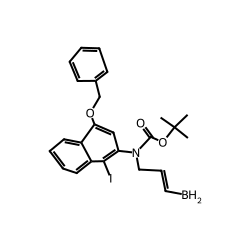 B/C=C/CN(C(=O)OC(C)(C)C)c1cc(OCc2ccccc2)c2ccccc2c1I